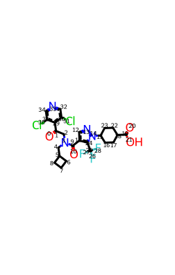 O=C(CN(CC1CCC1)C(=O)c1cnn(C2CCC(C(=O)O)CC2)c1C(F)(F)F)c1c(Cl)cncc1Cl